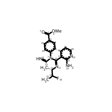 COC(=O)c1ccc(N(C=N)/C(=N\[C@@H](C)C(C)F)c2cccnc2N)cc1